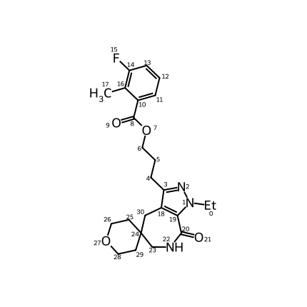 CCn1nc(CCCOC(=O)c2cccc(F)c2C)c2c1C(=O)NCC1(CCOCC1)C2